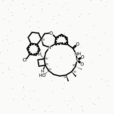 C[C@@H]1[C@@H](C)S(=O)(=O)NC(=O)c2ccc3c(c2)N(C[C@@H]2CC[C@H]2[C@@H](O)CC[C@@H]1C)C[C@@]1(CCCc2cc(Cl)ccc21)CO3